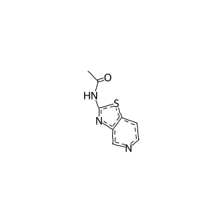 CC(=O)Nc1nc2cnccc2s1